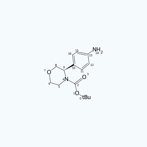 CC(C)(C)OC(=O)N1CCOC[C@H]1c1ccc(N)cc1